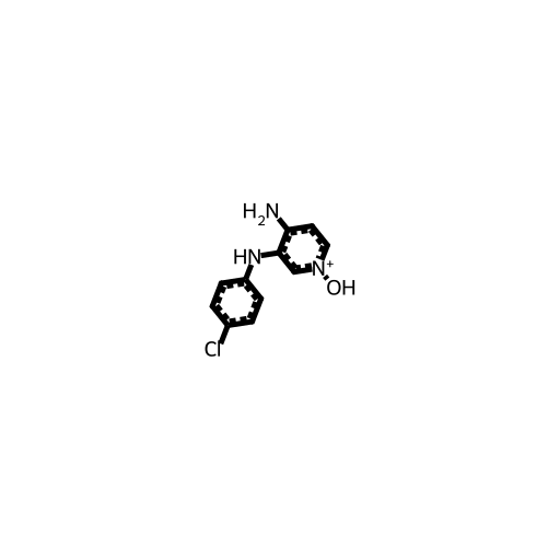 Nc1cc[n+](O)cc1Nc1ccc(Cl)cc1